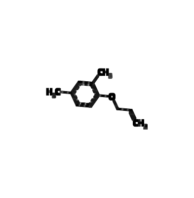 C=CCOc1ccc(C)cc1C